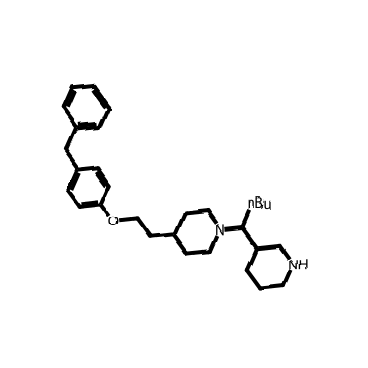 CCCCC(C1CCCNC1)N1CCC(CCOc2ccc(Cc3ccccc3)cc2)CC1